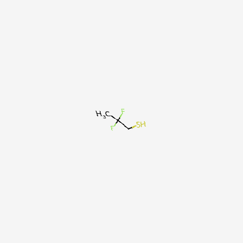 CC(F)(F)CS